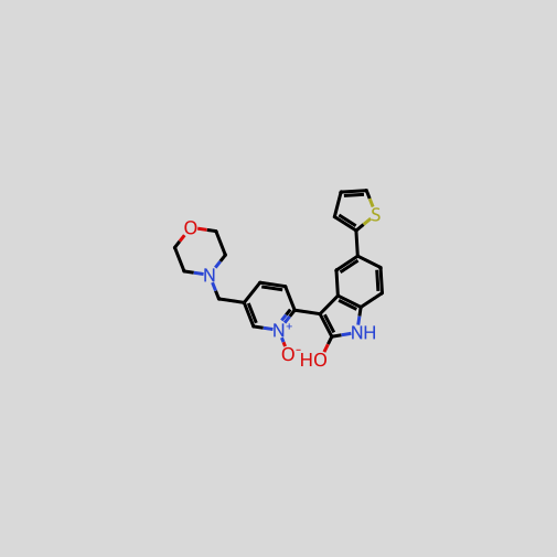 [O-][n+]1cc(CN2CCOCC2)ccc1-c1c(O)[nH]c2ccc(-c3cccs3)cc12